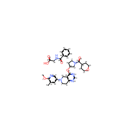 COc1ncc(N2CCc3ncnc(O[C@H]4CCN(C(=O)C5CCOCC5)C4)c3C2)cc1C.O=C(O)CNC(=O)c1ccccc1